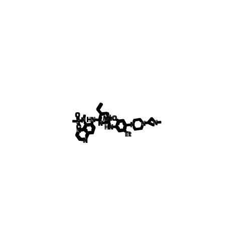 C=Cc1cnc(Nc2cc(CC)c(N3CCN(C4CN(C)C4)CC3)cc2OC)nc1Nc1ccc2nccnc2c1N(C)S(C)(=O)=O